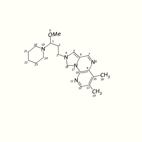 COC(CCN1C=C2C=Nc3c(ncc(C)c3C)N2C1)N1CCCCC1